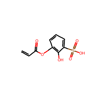 C=CC(=O)Oc1cccc(S(=O)(=O)O)c1O